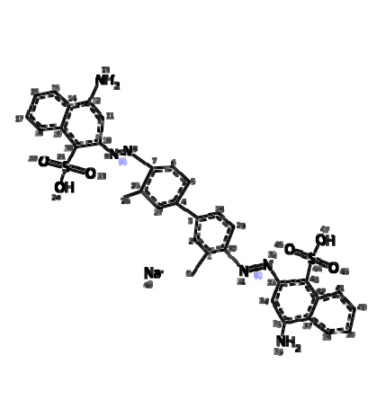 Cc1cc(-c2ccc(/N=N/c3cc(N)c4ccccc4c3S(=O)(=O)O)c(C)c2)ccc1/N=N/c1cc(N)c2ccccc2c1S(=O)(=O)O.[Na]